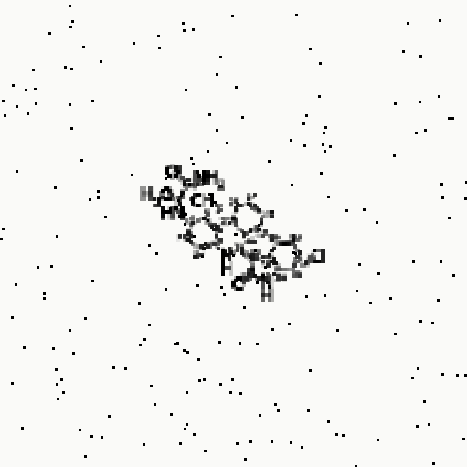 CC(C)(Nc1ccc(N/C(=C2\C(=O)Nc3cc(Cl)ccc32)c2ccccc2)cc1)C(N)=O